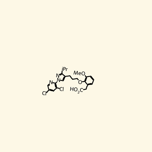 COc1cccc(CC(=O)O)c1OCCCc1cn(-c2ncc(Cl)cc2Cl)nc1C(C)C